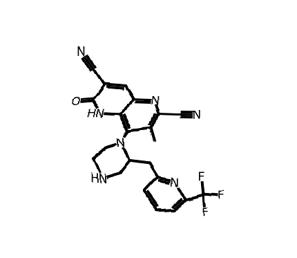 Cc1c(C#N)nc2cc(C#N)c(=O)[nH]c2c1N1CCNCC1Cc1cccc(C(F)(F)F)n1